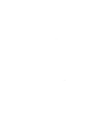 CCc1cc(C(C)O)cc(C2(C)CCCCC2)c1O